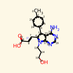 Cc1ccc(-c2c(/C=C/C(=O)O)n(CCCO)c3ncnc(N)c23)cc1